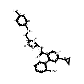 COc1ccccc1-c1cc(C2CC2)ncc1C(=O)Nc1nnc(COc2ccc(Cl)cc2)s1